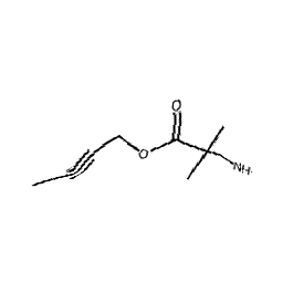 CC#CCOC(=O)C(C)(C)[NH]